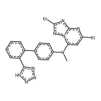 CCc1cc(N(C)c2ccc(-c3ccccc3-c3nnn[nH]3)cc2)n2nc(CC)nc2n1